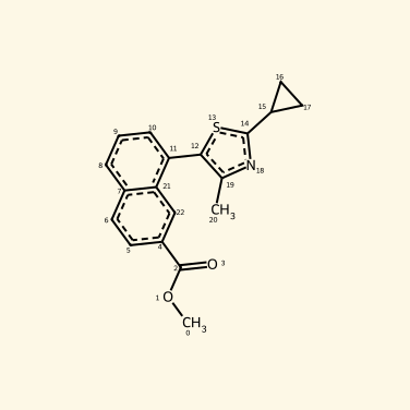 COC(=O)c1ccc2cccc(-c3sc(C4CC4)nc3C)c2c1